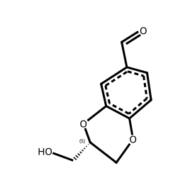 O=Cc1ccc2c(c1)O[C@@H](CO)CO2